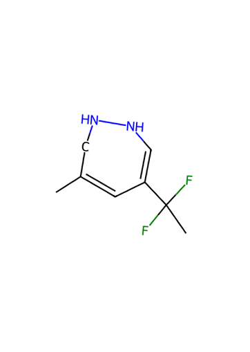 CC1=CC(C(C)(F)F)=CNNC1